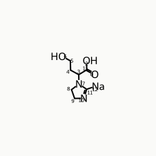 O=C(O)C(CCO)N1CCN=[C]1[Na]